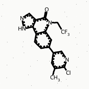 Cc1cc(-c2ccc3c4[nH]ncc4c(=O)n(CC(F)(F)F)c3c2)cnc1Cl